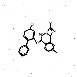 Cc1ccc2c(c1)C1N=C(Cl)N1NC2OC1=CC(C(F)(F)F)CC=C1c1ccccc1